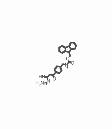 CN(Cc1ccc(C(=O)CC(=N)/N=N\N)cc1)C(=O)OCC1c2ccccc2-c2ccccc21